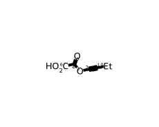 CCC#COC(=O)C(=O)O